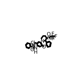 O=C(NC1CCCN2c3cc(Cl)c(NS(=O)(=O)c4ccccc4)cc3Oc3ccccc3C12)C(F)(F)F